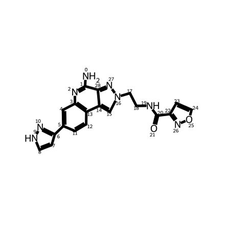 Nc1nc2cc(-c3cc[nH]n3)ccc2c2cn(CCNC(=O)c3ccon3)nc12